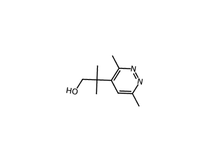 Cc1cc(C(C)(C)CO)c(C)nn1